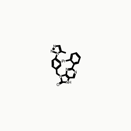 Cc1cnnn1-c1ccc(Cn2c(=O)[nH]c3cnc(-c4ccccc4C(C)C)nc32)cc1